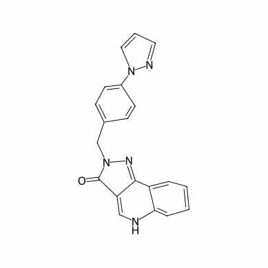 O=c1c2c[nH]c3ccccc3c-2nn1Cc1ccc(-n2cccn2)cc1